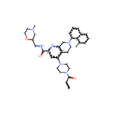 C=CC(=O)N1CCN(c2cc(C(=O)NCC3CN(C)CCO3)nc3c2CCN(c2cccc4cccc(C)c24)C3)CC1